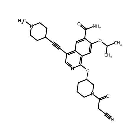 CC(C)Oc1cc2c(O[C@@H]3CCCN(C(=O)CC#N)C3)ncc(C#CC3CCN(C)CC3)c2cc1C(N)=O